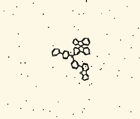 c1ccc(-c2ccc(N(c3cccc(-c4cccc5c4oc4ccccc45)c3)c3ccc4c(c3)-c3ccccc3C43c4ccccc4-c4ccccc43)cc2)cc1